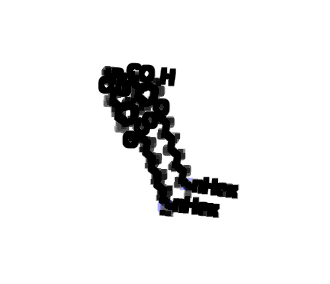 CCCCCC/C=C\CCCCCCCC(=O)Oc1ccc(CC(=O)O)cc1.CCCCCC/C=C\CCCCCCCC(=O)Oc1ccc(CC(=O)OC(C)(C)C)cc1